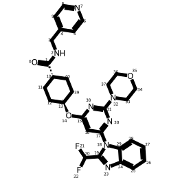 O=C(NCc1ccncc1)[C@H]1CC[C@H](Oc2cc(-n3c(C(F)F)nc4ccccc43)nc(N3CCOCC3)n2)CC1